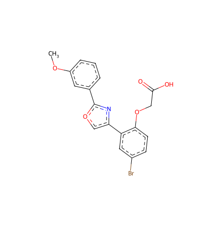 COc1cccc(-c2nc(-c3cc(Br)ccc3OCC(=O)O)co2)c1